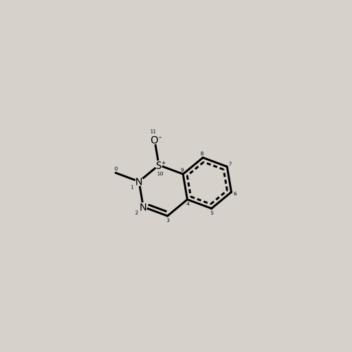 CN1N=Cc2ccccc2[S+]1[O-]